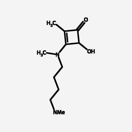 CNCCCCN(C)C1=C(C)C(=O)C1O